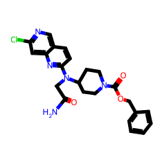 NC(=O)CN(c1ccc2cnc(Cl)cc2n1)C1CCN(C(=O)OCc2ccccc2)CC1